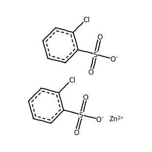 O=S(=O)([O-])c1ccccc1Cl.O=S(=O)([O-])c1ccccc1Cl.[Zn+2]